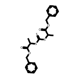 CC(SC(=S)SC(C)C(=O)OCc1ccccc1)C(=O)OCc1ccccc1